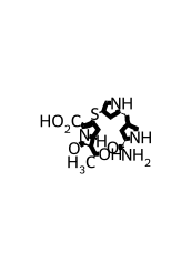 C[C@@H](O)[C@H]1C(=O)N2C(C(=O)O)=C(S[C@@H]3CN[C@H](CC4CN[C@H](C(N)=O)C4)C3)C[C@H]12